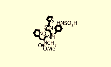 COC(=O)N(C)C(Cc1ccccn1)C(=O)N[C@@H](Cc1ccc(NS(=O)(=O)O)cc1)c1csc(-c2cccs2)n1